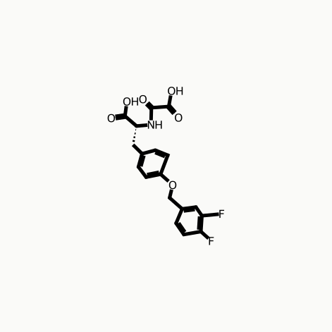 O=C(O)C(=O)N[C@H](Cc1ccc(OCc2ccc(F)c(F)c2)cc1)C(=O)O